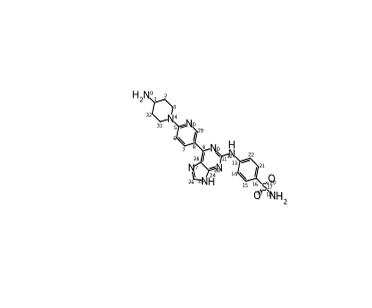 NC1CCN(c2ccc(-c3nc(Nc4ccc(S(N)(=O)=O)cc4)nc4[nH]cnc34)cn2)CC1